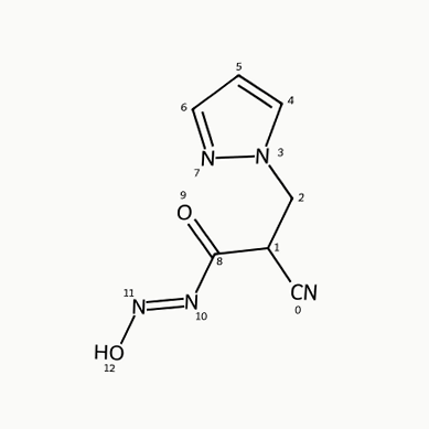 N#CC(Cn1cccn1)C(=O)/N=N/O